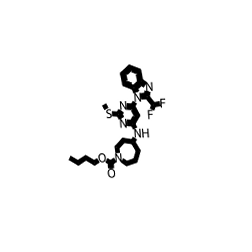 CCCCOC(=O)N1CCCC(Nc2cc(-n3c(C(F)F)nc4ccccc43)nc(SC)n2)CC1